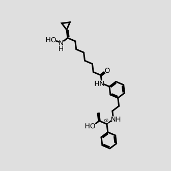 C=C(O)[C@@H](NCCc1cccc(NC(=O)CCCCCCC(NO)=C2CC2)c1)c1ccccc1